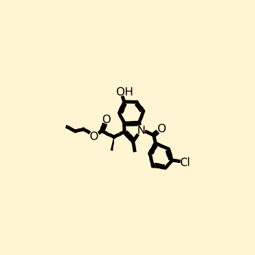 CCCOC(=O)[C@H](C)c1c(C)n(C(=O)c2cccc(Cl)c2)c2ccc(O)cc12